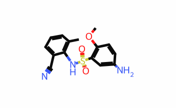 COc1ccc(N)cc1S(=O)(=O)Nc1c(C)cccc1C#N